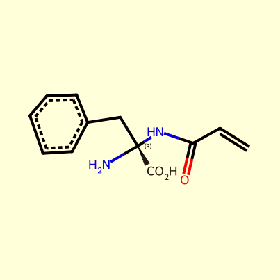 C=CC(=O)N[C@](N)(Cc1ccccc1)C(=O)O